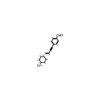 CCOc1ccc(C#C/C=C/[C@H]2CC[C@H](CC)CC2)cc1